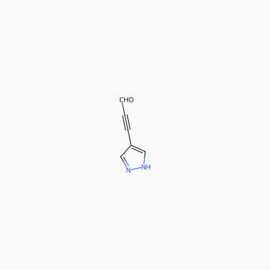 O=CC#Cc1cn[nH]c1